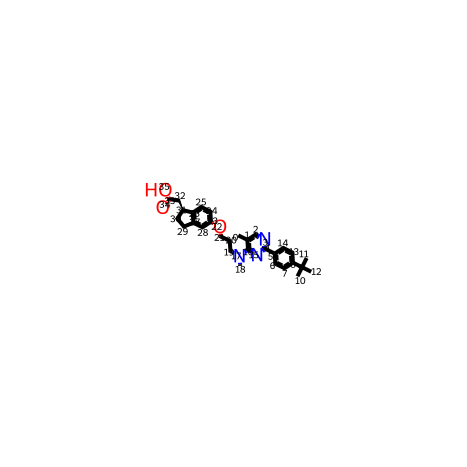 Cc1cnc(-c2ccc(C(C)(C)C)cc2)nc1N(C)CCCOc1ccc2c(c1)CC[C@H]2CC(=O)O